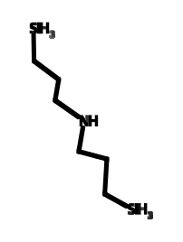 [SiH3]CCCNCCC[SiH3]